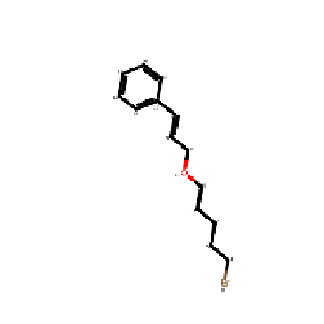 BrCCCCCOCC=Cc1ccccc1